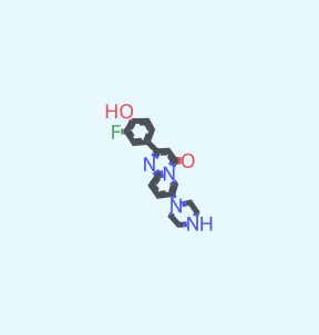 O=c1cc(-c2ccc(O)c(F)c2)nc2ccc(N3CCNCC3)cn12